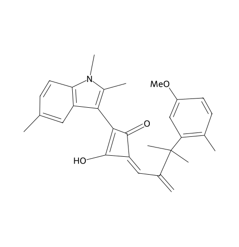 C=C(/C=C1\C(=O)C(c2c(C)n(C)c3ccc(C)cc23)=C1O)C(C)(C)c1cc(OC)ccc1C